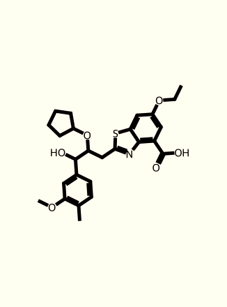 CCOc1cc(C(=O)O)c2nc(CC(OC3CCCC3)C(O)c3ccc(C)c(OC)c3)sc2c1